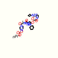 CCCOC(=O)ON1CCN(C(=O)[C@@H](C)NC(=O)c2cc(OCC(=O)N3CCC[C@H]3C(=O)NC3CCC3)n(-c3ccccc3)n2)CC1